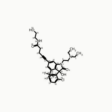 CCN(CC)CCN1C(=O)C(O)(c2ccccc2Cl)c2c1cc(C#CCCC(=O)NCCO)cc2C(F)(F)F